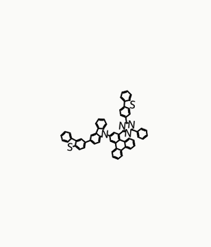 c1ccc(-c2nc(-c3ccc4c(c3)sc3ccccc34)nc(-c3cc(-n4c5ccccc5c5cc(-c6ccc7sc8ccccc8c7c6)ccc54)cc4c5ccccc5c5ccccc5c34)n2)cc1